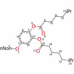 CCCCCCCCCOc1ccc(OC(=O)CCCCC(C)C)c(OC(=O)CCCCC(C)C)c1